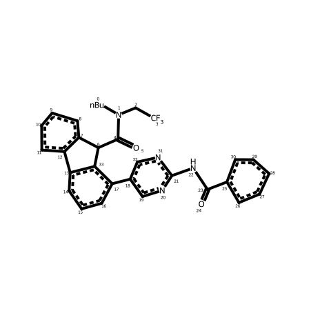 CCCCN(CC(F)(F)F)C(=O)C1c2ccccc2-c2cccc(-c3cnc(NC(=O)c4ccccc4)nc3)c21